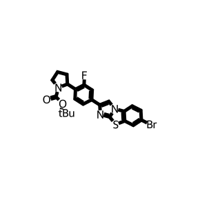 CC(C)(C)OC(=O)N1CCCC1c1ccc(-c2cn3c(n2)sc2cc(Br)ccc23)cc1F